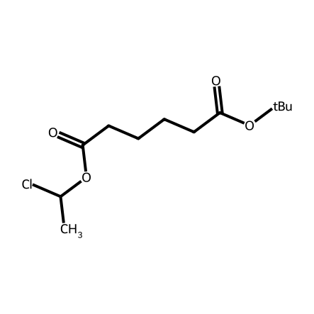 CC(Cl)OC(=O)CCCCC(=O)OC(C)(C)C